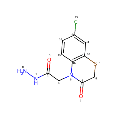 NNC(=O)CN1C(=O)CSc2cc(Cl)ccc21